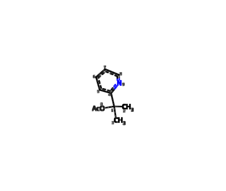 CC(=O)OC(C)(C)c1ccccn1